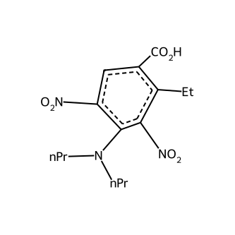 CCCN(CCC)c1c([N+](=O)[O-])cc(C(=O)O)c(CC)c1[N+](=O)[O-]